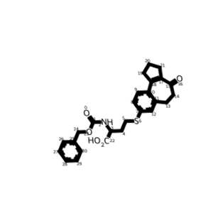 O=C(NC(CCSc1ccc2c(c1)CCC(=O)C1=C2CCC1)C(=O)O)OCc1ccccc1